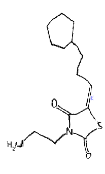 NCCN1C(=O)S/C(=C/CCC2CCCC2)C1=O